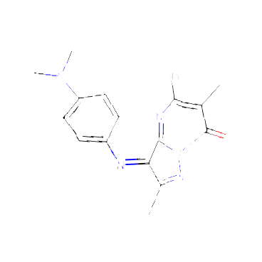 CC1=Nn2c(nc(C(C)C)c(C)c2=O)C1=Nc1ccc(N(C)C)cc1